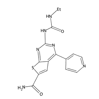 CCNC(=O)Nc1nc(-c2ccncc2)c2cc(C(N)=O)sc2n1